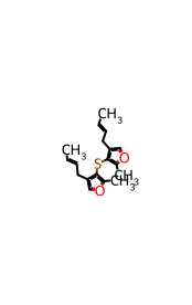 CC=CCc1coc(C)c1Sc1c(CC=CC)coc1C